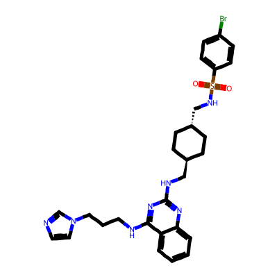 O=S(=O)(NC[C@H]1CC[C@H](CNc2nc(NCCCn3ccnc3)c3ccccc3n2)CC1)c1ccc(Br)cc1